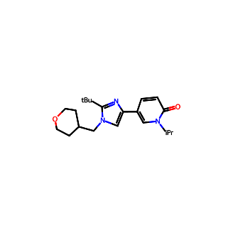 CC(C)n1cc(-c2cn(CC3CCOCC3)c(C(C)(C)C)n2)ccc1=O